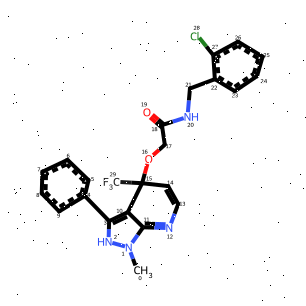 CN1NC(c2ccccc2)=C2C1=NC=CC2(OCC(=O)NCc1ccccc1Cl)C(F)(F)F